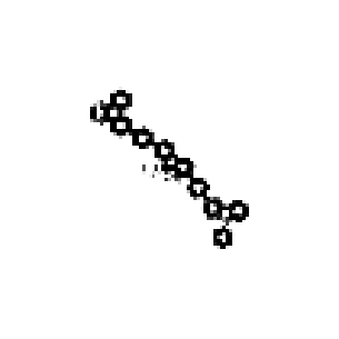 CC1(C)c2cc(-c3ccc(-c4ccc5c(c4)c4ccccc4c4nccnc54)cc3)ccc2-c2ccc(-c3ccc(-c4ccc5c(c4)c4ccccc4n5-c4ccccc4)cc3)cc21